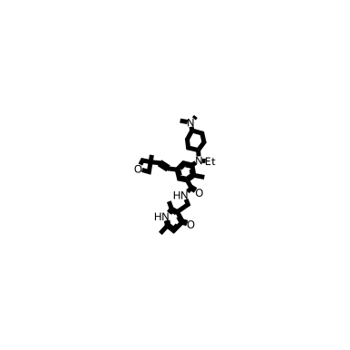 CCN(c1cc(C#CC2(C)COC2)cc(C(=O)NCc2c(C)[nH]c(C)cc2=O)c1C)C1CCC(N(C)C)CC1